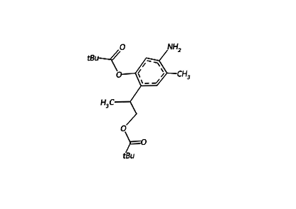 Cc1cc(C(C)COC(=O)C(C)(C)C)c(OC(=O)C(C)(C)C)cc1N